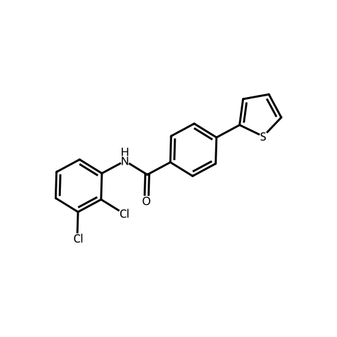 O=C(Nc1cccc(Cl)c1Cl)c1ccc(-c2cccs2)cc1